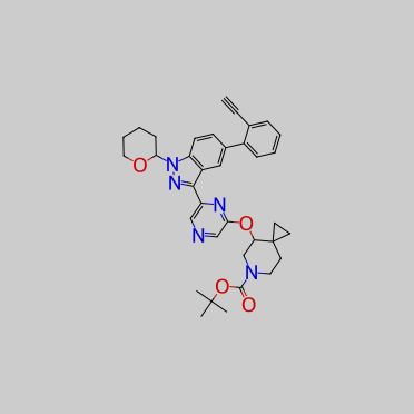 C#Cc1ccccc1-c1ccc2c(c1)c(-c1cncc(OC3CN(C(=O)OC(C)(C)C)CCC34CC4)n1)nn2C1CCCCO1